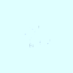 Brc1c[c]cc(I)c1-c1ccccc1